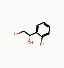 O[C@H](CBr)c1ccccc1Br